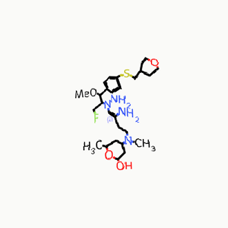 COC(c1ccc(SCC2CCOCC2)cc1)C(CF)N(N)/C=C(\N)CCN(C)C1CC(C)OC(O)C1